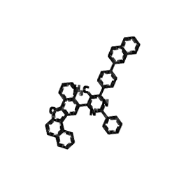 Cc1c(-c2ccc(-c3ccc4ccccc4c3)cc2)nc(-c2ccccc2)nc1-c1cc2c(oc3ccc4ccccc4c32)c2ccccc12